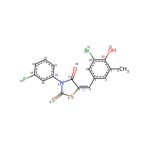 Cc1cc(/C=C2/SC(=S)N(c3cccc(F)c3)C2=O)cc(Br)c1O